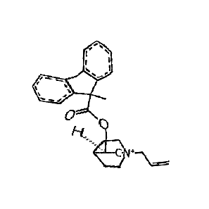 C=CC[N+]12CCC(CC1)[C@@H](OC(=O)C1(C)c3ccccc3-c3ccccc31)C2